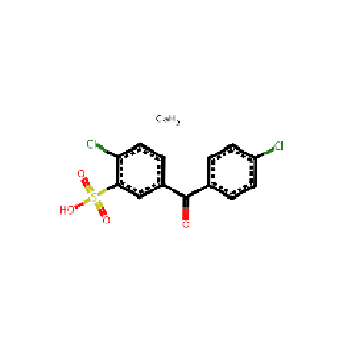 O=C(c1ccc(Cl)cc1)c1ccc(Cl)c(S(=O)(=O)O)c1.[CaH2]